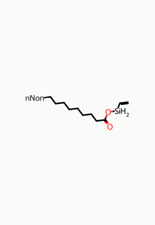 C=C[SiH2]OC(=O)CCCCCCCCCCCCCCCCC